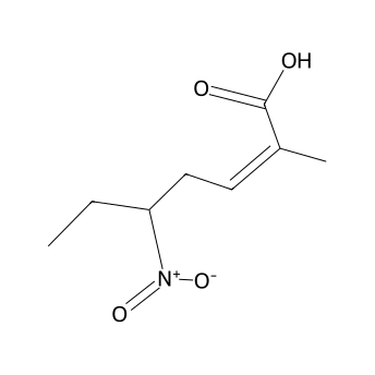 CCC(CC=C(C)C(=O)O)[N+](=O)[O-]